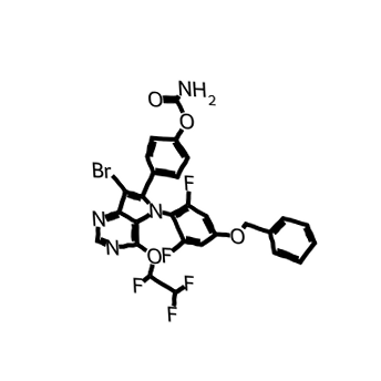 NC(=O)Oc1ccc(-c2c(Br)c3ncnc(OC(F)C(F)F)c3n2-c2c(F)cc(OCc3ccccc3)cc2F)cc1